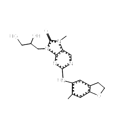 Cc1cc2c(cc1Nc1ncc3c(n1)n(CC(O)CO)c(=O)n3C)CCO2